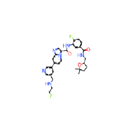 CC1(C)CCC(CNC(=O)c2ccc(F)c(NC(=O)c3cnc4cc(-c5cncc(CNCCF)c5)ccn34)c2)O1